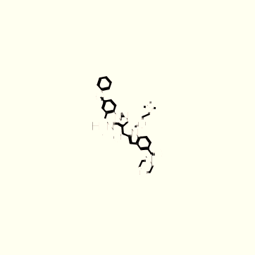 Cc1cc(Oc2ccccc2)ccc1-n1ncc(C(=O)c2cc3cc(C(=O)N4CCOCC4)ccc3n2COCCS(C)(C)C)c1N